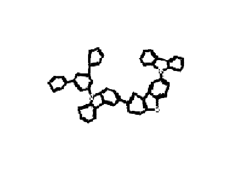 c1ccc(-c2cc(-c3ccccc3)cc(-n3c4ccccc4c4cc(-c5ccc6oc7ccc(-n8c9ccccc9c9ccccc98)cc7c6c5)ccc43)c2)cc1